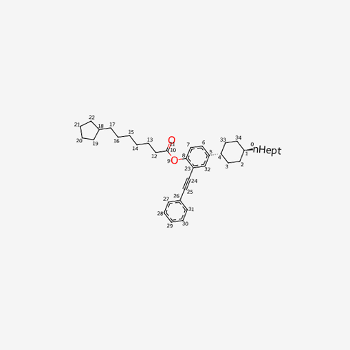 CCCCCCC[C@H]1CC[C@H](c2ccc(OC(=O)CCCCCCC3CCCC3)c(C#Cc3ccccc3)c2)CC1